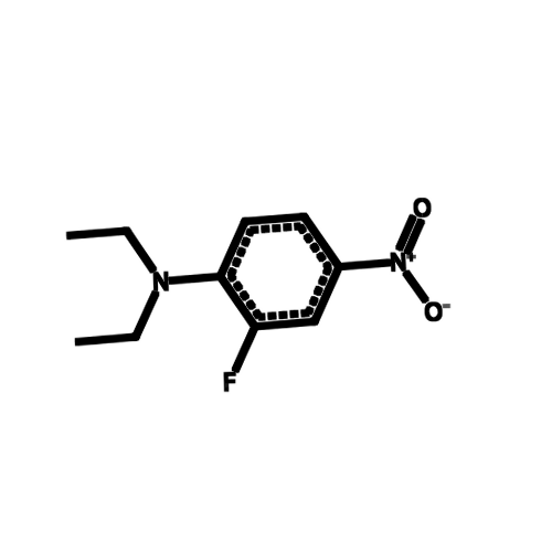 CCN(CC)c1ccc([N+](=O)[O-])cc1F